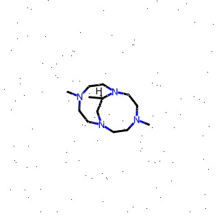 C[C@@H]1CN2CCN(C)CCN1CCN(C)CC2